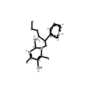 CCCCC(CN1C(C)=C(O)C(C)=NC1N)c1ccccc1